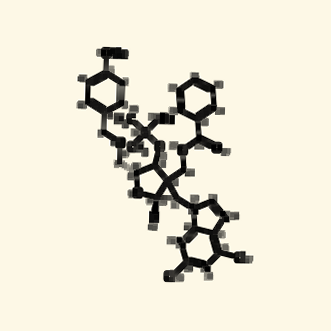 COc1ccc(COC[C@H]2O[C@H]3C(n4cnc5c(Cl)nc(Cl)nc54)C3(COC(=O)c3ccccc3)C2O[Si](C)(C)C(C)(C)C)cc1